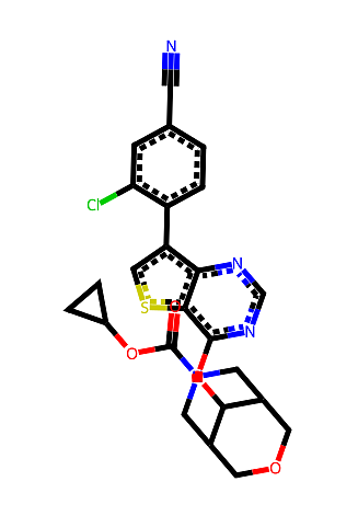 N#Cc1ccc(-c2csc3c(OC4C5COCC4CN(C(=O)OC4CC4)C5)ncnc23)c(Cl)c1